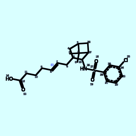 CC1(C)C2CC(C/C=C/CCCC(=O)O)C(NS(=O)(=O)c3cccc(Cl)c3)C1C2